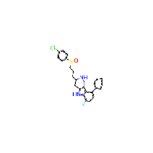 [O-][S+](CCCC1Cc2[nH]c3c(F)ccc(-c4ccccc4)c3c2CN1)c1ccc(Cl)cc1